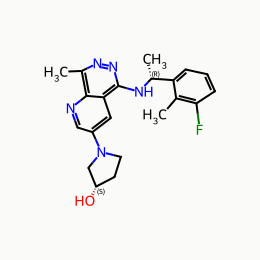 Cc1c(F)cccc1[C@@H](C)Nc1nnc(C)c2ncc(N3CC[C@H](O)C3)cc12